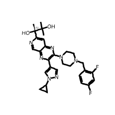 CC(C)(O)[C@@](C)(O)c1cc2nc(N3CCN(Cc4ccc(F)cc4F)CC3)c(-c3cnn(C4CC4)c3)nc2cn1